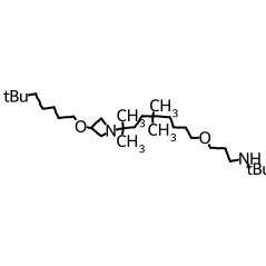 CC(C)(C)CCCCCOC1CN(C(C)(C)CCC(C)(C)CCCCOCCCNC(C)(C)C)C1